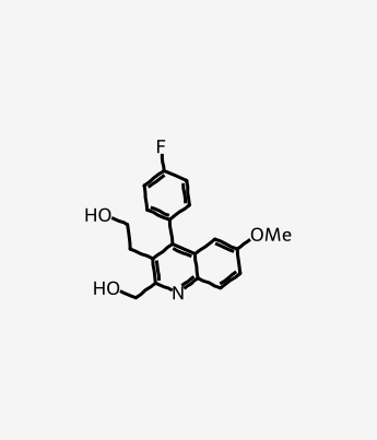 COc1ccc2nc(CO)c(CCO)c(-c3ccc(F)cc3)c2c1